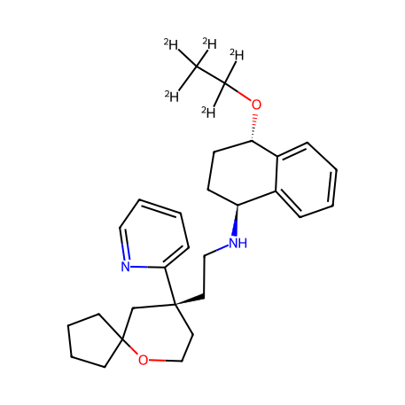 [2H]C([2H])([2H])C([2H])([2H])O[C@H]1CC[C@H](NCC[C@@]2(c3ccccn3)CCOC3(CCCC3)C2)c2ccccc21